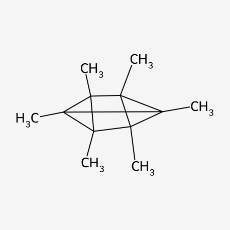 CC12C3(C)C1(C)C1(C)C2(C)C31C